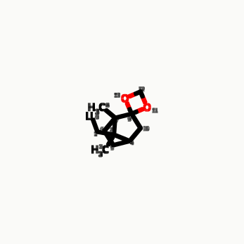 [Li][CH2]C1(C)C2CCC1(C)C1(C2)OCO1